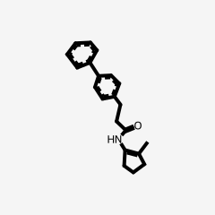 CC1=C(NC(=O)CCc2ccc(-c3ccccc3)cc2)CCC1